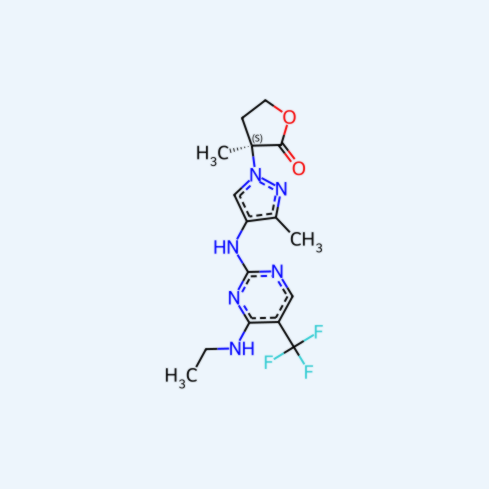 CCNc1nc(Nc2cn([C@@]3(C)CCOC3=O)nc2C)ncc1C(F)(F)F